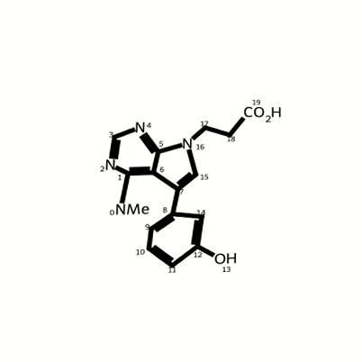 CNc1ncnc2c1c(-c1cccc(O)c1)cn2CCC(=O)O